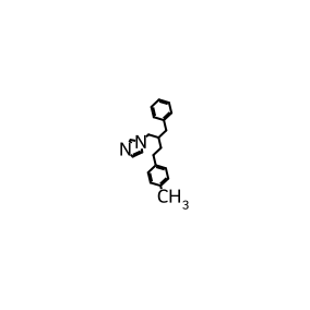 Cc1ccc(CCC(Cc2ccccc2)Cn2ccnc2)cc1